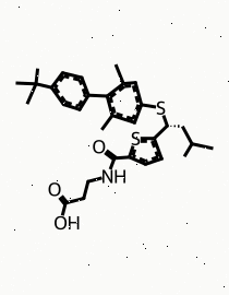 Cc1cc(S[C@H](CC(C)C)c2ccc(C(=O)NCCC(=O)O)s2)cc(C)c1-c1ccc(C(C)(C)C)cc1